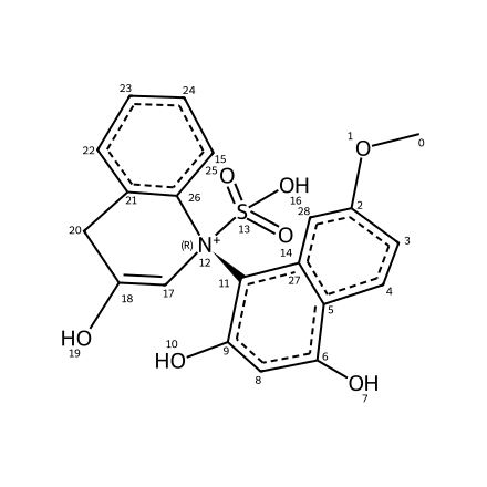 COc1ccc2c(O)cc(O)c([N@@+]3(S(=O)(=O)O)C=C(O)Cc4ccccc43)c2c1